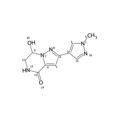 Cn1cc(-c2cc3n(n2)C(O)CNC3=O)cn1